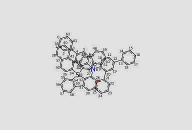 c1ccc(-c2ccc(N(c3ccc(-c4ccccc4)cc3-c3ccccc3)c3cccc4c3[Si](c3ccc5ccccc5c3)(c3ccc5ccccc5c3)c3ccccc3-4)cc2)cc1